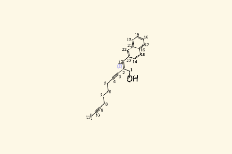 OC/C(C#CCCCCC#CI)=C\c1ccc2ccccc2c1